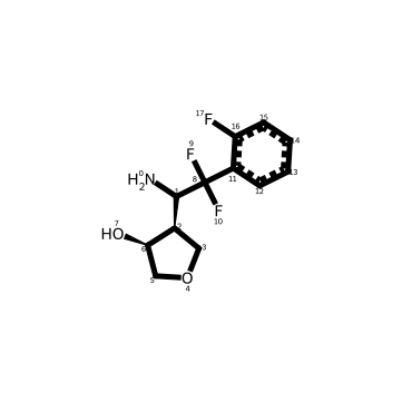 NC([C@H]1COC[C@H]1O)C(F)(F)c1ccccc1F